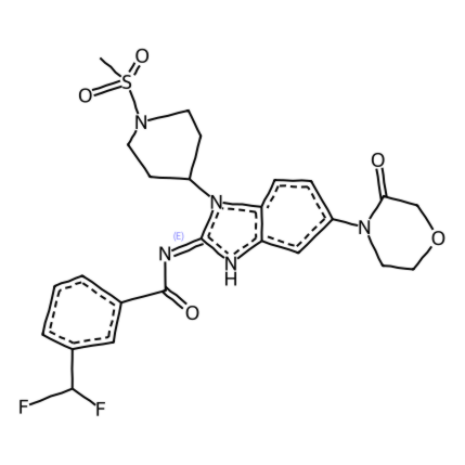 CS(=O)(=O)N1CCC(n2/c(=N/C(=O)c3cccc(C(F)F)c3)[nH]c3cc(N4CCOCC4=O)ccc32)CC1